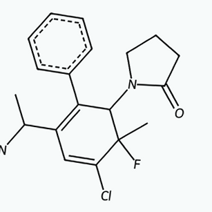 CC(N)C1=C(c2ccccc2)C(N2CCCC2=O)C(C)(F)C(Cl)=C1